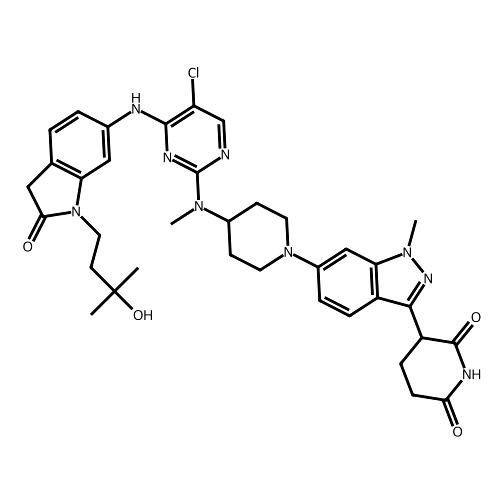 CN(c1ncc(Cl)c(Nc2ccc3c(c2)N(CCC(C)(C)O)C(=O)C3)n1)C1CCN(c2ccc3c(C4CCC(=O)NC4=O)nn(C)c3c2)CC1